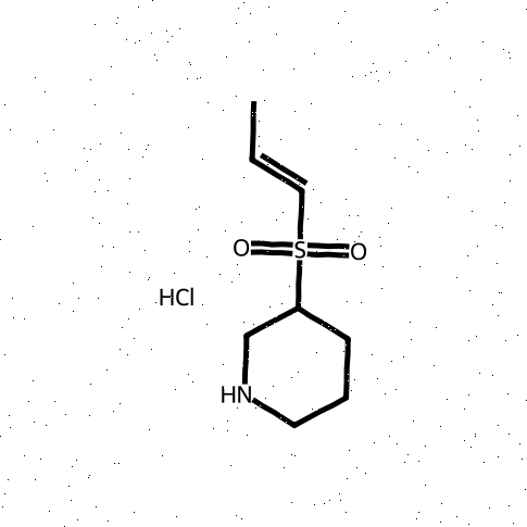 C/C=C/S(=O)(=O)C1CCCNC1.Cl